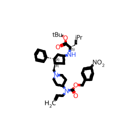 C=CCN(C(=O)OCc1ccc([N+](=O)[O-])cc1)C1CCN(C[C@@H]2CC(N[C@@H](CC(C)C)C(=O)OC(C)(C)C)C[C@H]2c2ccccc2)CC1